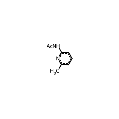 CC(=O)Nc1cccc(C)n1